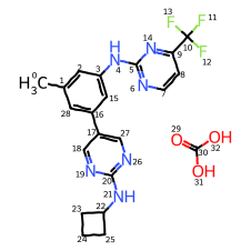 Cc1cc(Nc2nccc(C(F)(F)F)n2)cc(-c2cnc(NC3CCC3)nc2)c1.O=C(O)O